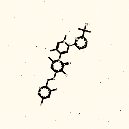 CC1=CN(C)[C@@H](c2ccnc(C(C)(C)O)n2)C=C1n1c(C)cc(OCc2ncc(F)cc2F)c(Cl)c1=O